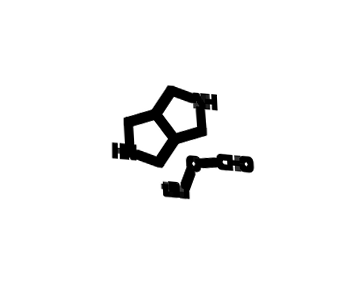 C1NCC2CNCC12.CC(C)(C)OC=O